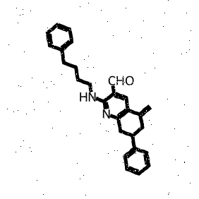 C=C1CC(c2ccccc2)Cc2nc(NCCCCc3ccccc3)c(C=O)cc21